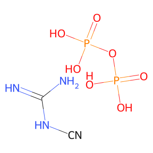 N#CNC(=N)N.O=P(O)(O)OP(=O)(O)O